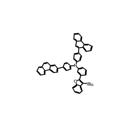 CC(C)(C)c1c(-c2cccc(N(c3ccc(-c4ccc5c(ccc6ccccc65)c4)cc3)c3ccc(-c4cc5ccccc5c5ccccc45)cc3)c2)oc2ccccc12